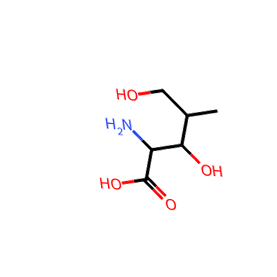 CC(CO)C(O)C(N)C(=O)O